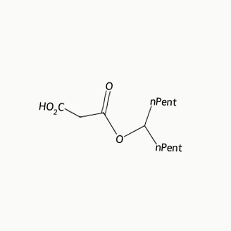 CCCCCC(CCCCC)OC(=O)CC(=O)O